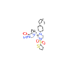 C[C@H]1C(=O)NCCN1C[C@H]1CN(S(=O)(=O)c2cccs2)CCN1c1ccc(C(F)(F)F)cc1